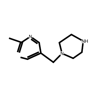 C=C(C)/N=C\C(=C/C)CN1CCNCC1